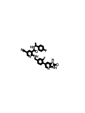 CC(NC(=O)c1cc(C#N)cnc1NCc1ccc(-c2cnc3[nH]c(=O)[nH]c3c2)c(F)c1)c1ccc(F)cc1